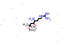 CC(C)(CC(=O)C(N)CCCNC(=N)N)O[C]=O